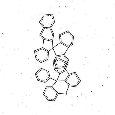 c1ccc(C2(c3ccccc3)c3ccccc3Oc3cccc(-c4ccc5c(c4)-c4ccccc4C54c5ccccc5-c5cc6ccccc6cc54)c32)cc1